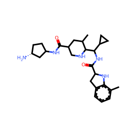 Cc1cccc2c1NC(C(=O)NC(C1CC1)C1NCC(C(=O)NC3CC[C@@H](N)C3)CC1C)C2